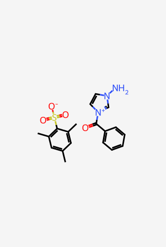 Cc1cc(C)c(S(=O)(=O)[O-])c(C)c1.Nn1cc[n+](C(=O)c2ccccc2)c1